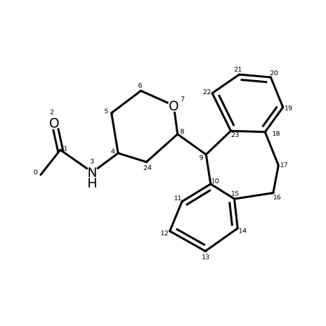 CC(=O)NC1CCOC(C2c3ccccc3CCc3ccccc32)C1